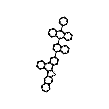 c1ccc(-c2c3ccccc3c(-c3ccc(-c4ccc5c(c4)c4ccccc4c4c6cc7ccccc7cc6sc54)c4ccccc34)c3ccccc23)cc1